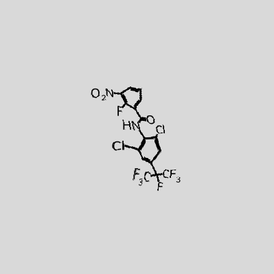 O=C(Nc1c(Cl)cc(C(F)(C(F)(F)F)C(F)(F)F)cc1Cl)c1cccc([N+](=O)[O-])c1F